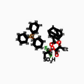 CCC(OC(=O)C12CC3CC(CC(C3)C1)C2)C(=O)OC(F)(F)CS(=O)(=O)O.c1ccc([S+](c2ccccc2)c2ccccc2)cc1